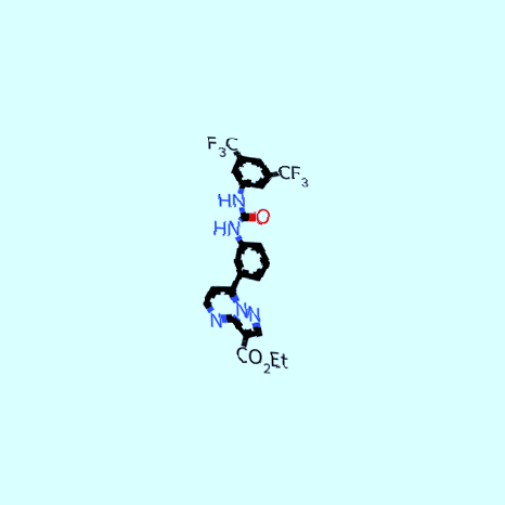 CCOC(=O)c1cnn2c(-c3cccc(NC(=O)Nc4cc(C(F)(F)F)cc(C(F)(F)F)c4)c3)ccnc12